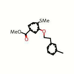 COC(=O)c1ccc(SC)c(OCCc2cccc(C)c2)c1